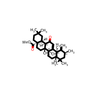 C=C1[C@@H](C)CC(C)(C)[C@@H]2CC[C@]3(C)C(=CC(=O)[C@@H]4[C@@H]5CC(C)(C)CC[C@]5(C(=O)OC)CC[C@]43C)[C@@]12C